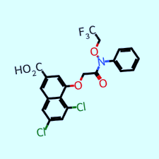 O=C(O)c1cc(OCC(=O)N(OCC(F)(F)F)c2ccccc2)c2c(Cl)cc(Cl)cc2c1